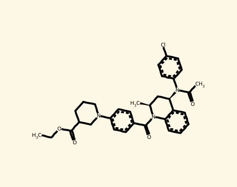 CCOC(=O)C1CCCN(c2ccc(C(=O)N3c4ccccc4[C@H](N(C(C)=O)c4ccc(Cl)cc4)C[C@@H]3C)cc2)C1